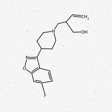 C=CC(CO)CN1CCC(c2noc3cc(F)ccc23)CC1